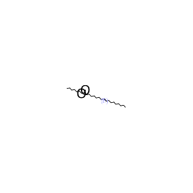 CCCCCCCC/C=C/CCCCCCCC(=O)OCCCCCC